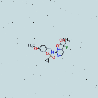 CCC(F)(C(=O)O)c1ccnc(N(Cc2ccc(OC)cc2)S(=O)(=O)C2CC2)n1